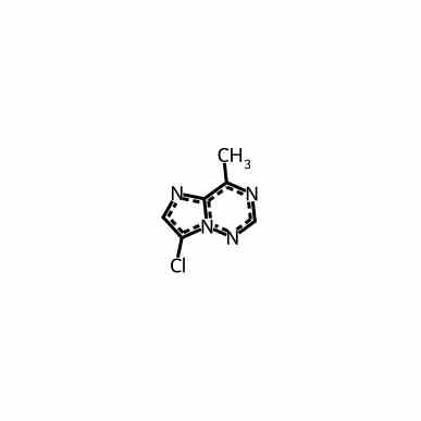 Cc1ncnn2c(Cl)cnc12